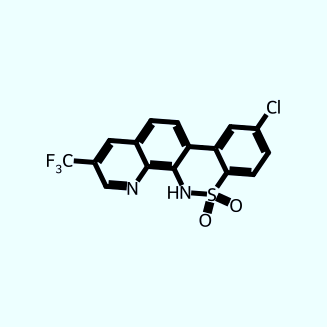 O=S1(=O)Nc2c(ccc3cc(C(F)(F)F)cnc23)-c2cc(Cl)ccc21